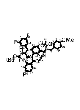 COc1ccc(CN(c2nn(C)c3c(-n4c(C(Cc5cc(F)cc(F)c5)NC(=O)OC(C)(C)C)nc5cc(F)ccc5c4=O)ccc(Cl)c23)S(C)(=O)=O)cc1